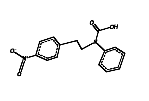 O=C(O)N(CCc1ccc([N+](=O)[O-])cc1)c1ccccc1